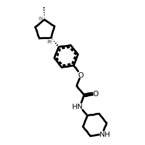 C[C@H]1CC[C@@H](c2ccc(OCC(=O)NC3CCNCC3)cc2)C1